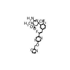 CN1C(N)=NC(C)(c2cc(C=C(F)c3cnc(OCc4ncco4)cn3)ccc2F)CS1(=O)=O